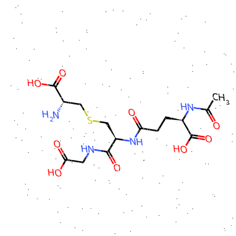 CC(=O)N[C@H](CCC(=O)N[C@H](CSC[C@H](N)C(=O)O)C(=O)NCC(=O)O)C(=O)O